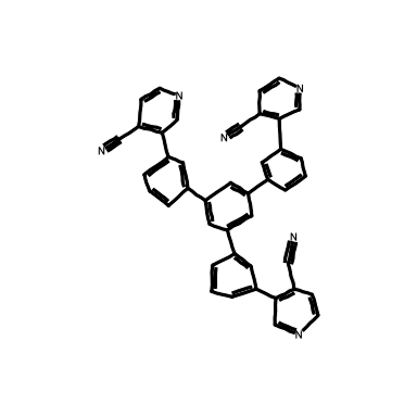 N#Cc1ccncc1-c1cccc(-c2cc(-c3cccc(-c4cnccc4C#N)c3)cc(-c3cccc(-c4cnccc4C#N)c3)c2)c1